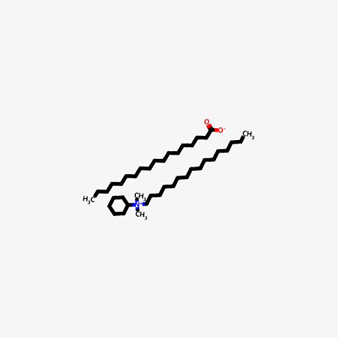 CCCCCCCCCCCCCCCCCC(=O)[O-].CCCCCCCCCCCCCCCC[N+](C)(C)C1CCCCC1